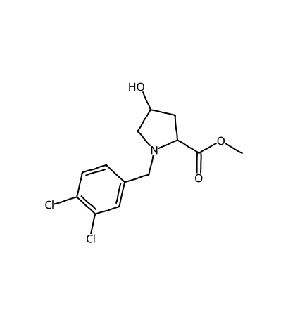 COC(=O)C1CC(O)CN1Cc1ccc(Cl)c(Cl)c1